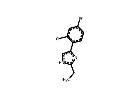 [CH2][CH]c1nc(-c2ccc(Br)cc2Cl)c[nH]1